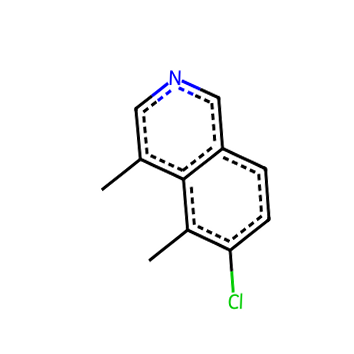 Cc1cncc2ccc(Cl)c(C)c12